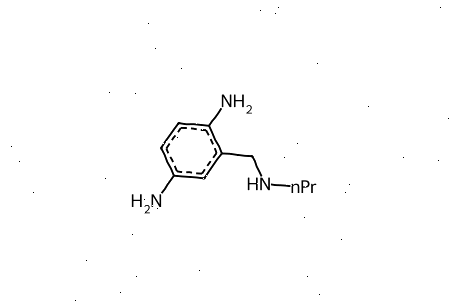 CCCNCc1cc(N)ccc1N